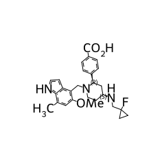 COc1cc(C)c2[nH]ccc2c1CN1CC[C@H](NCC2(F)CC2)C[C@@H]1c1ccc(C(=O)O)cc1